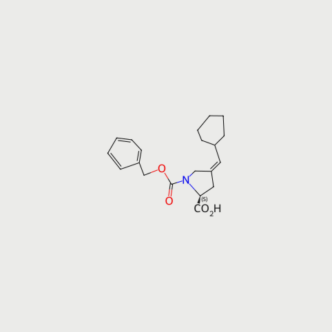 O=C(O)[C@@H]1CC(=CC2CCCCC2)CN1C(=O)OCc1ccccc1